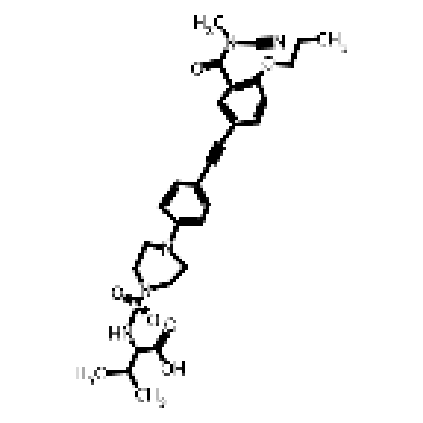 CCCOc1ccc(C#Cc2ccc(N3CCN(S(=O)(=O)N[C@@H](C(=O)O)C(C)C)CC3)cc2)cc1C(=O)N(C)C#N